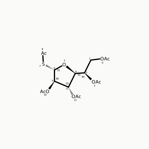 CC(=O)OC[C@@H](OC(C)=O)[C@@H]1O[C@@H](SC(C)=O)[C@H](OC(C)=O)[C@H]1OC(C)=O